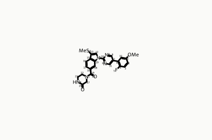 COc1ccc(F)c(-c2cnc(-n3cc(SC)c4ccc(C(=O)N5CCNC(=O)C5)cc43)nc2)c1